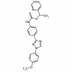 CC(OC(=O)Nc1ccc(-c2ncn(-c3ccc(OC(F)(F)F)cc3)n2)cc1)c1ccccn1